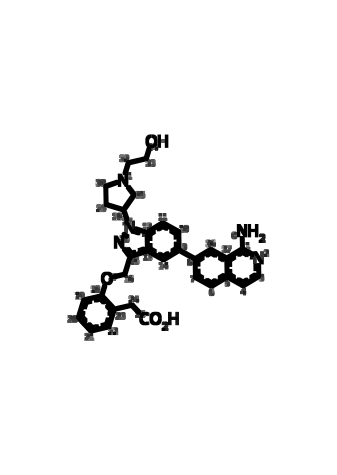 Nc1nccc2ccc(-c3ccc4c(c3)c(COc3ccccc3CC(=O)O)nn4C3CCN(CCO)C3)cc12